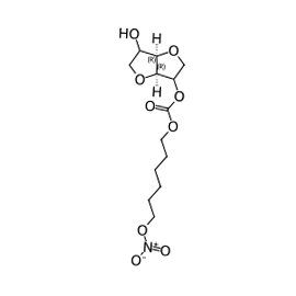 O=C(OCCCCCCO[N+](=O)[O-])OC1CO[C@@H]2C(O)CO[C@H]12